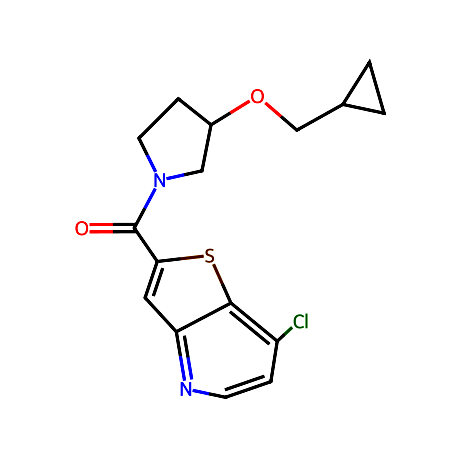 O=C(c1cc2nccc(Cl)c2s1)N1CCC(OCC2CC2)C1